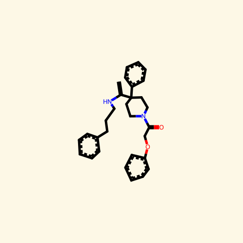 C=C(NCCCc1ccccc1)C1(c2ccccc2)CCN(C(=O)COc2ccccc2)CC1